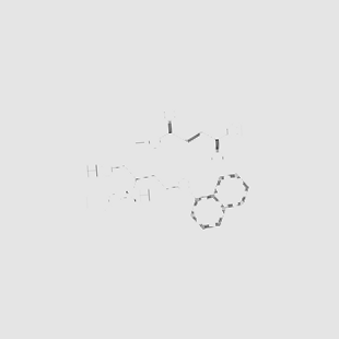 CNC(CO)CCOc1cccc2ccccc12.O=C(O)C=CC(=O)O